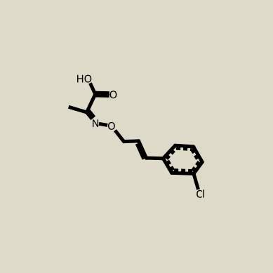 C/C(=N/OC/C=C/c1cccc(Cl)c1)C(=O)O